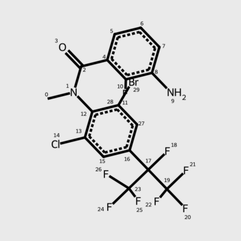 CN(C(=O)c1cccc(N)c1F)c1c(Cl)cc(C(F)(C(F)(F)F)C(F)(F)F)cc1Br